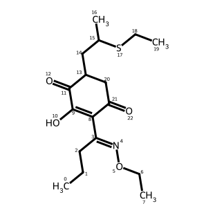 CCCC(=NOCC)C1=C(O)C(=O)C(CC(C)SCC)CC1=O